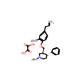 C=CCc1ccc(OC[C@@H]2CN(CCCC)CC[C@H]2c2ccccc2)c(OC)c1.O=C(O)C(=O)O